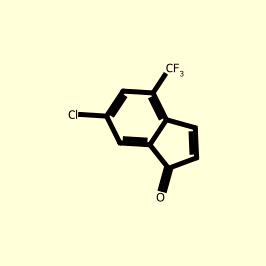 O=C1C=Cc2c1cc(Cl)cc2C(F)(F)F